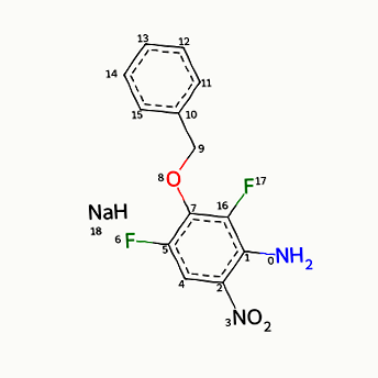 Nc1c([N+](=O)[O-])cc(F)c(OCc2ccccc2)c1F.[NaH]